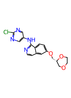 Clc1ncc(Nc2nccc3cc(OC[C@H]4COCCO4)ccc23)cn1